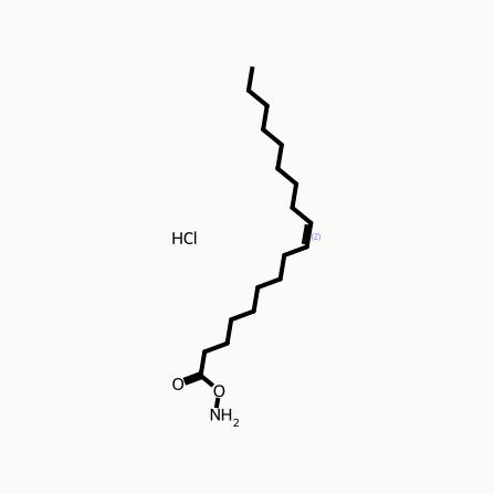 CCCCCCCC/C=C\CCCCCCCC(=O)ON.Cl